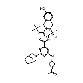 CC(=O)N1CC(Nc2cc(C(=O)NC[C@](C)(O)[C@@H]3Cc4ccc(O)cc4CN3C(=O)OC(C)(C)C)nc(N3CC4CCC(C4)C3)n2)C1